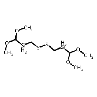 COC(OC)[SiH2]CSSC[SiH2]C(OC)OC